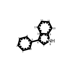 [c]1ccccc1-c1c[nH]c2ccccc12